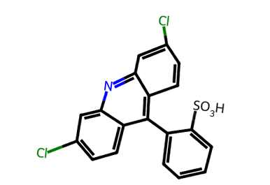 O=S(=O)(O)c1ccccc1-c1c2ccc(Cl)cc2nc2cc(Cl)ccc12